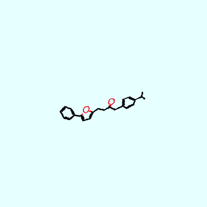 CC(C)c1ccc(CC(=O)CCc2ccc(-c3ccccc3)o2)cc1